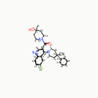 CC1(O)CCN(C(=O)c2cnc3ccc(F)cc3c2N2CCC(C#N)(c3ccccc3)CC2)CC1